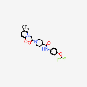 O=C(Nc1ccc(OC(F)F)cc1)C1CCN(C(=O)Cn2cc(C(F)(F)F)ccc2=O)CC1